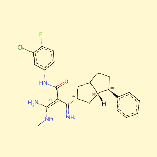 CN/C(N)=C(\C(=N)[C@@H]1CC2CC[C@@H](c3ccccc3)[C@@H]2C1)C(=O)Nc1ccc(F)c(Cl)c1